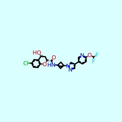 O=C(NC12CC(n3cc(-c4ccc(OC(F)F)nc4)cn3)(C1)C2)[C@H]1C[C@@H](O)c2cc(Cl)ccc2O1